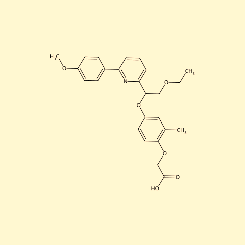 CCOCC(Oc1ccc(OCC(=O)O)c(C)c1)c1cccc(-c2ccc(OC)cc2)n1